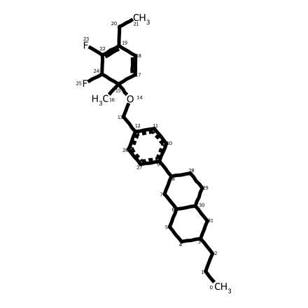 CCCC1CCC2CC(c3ccc(COC4(C)C=CC(CC)=C(F)C4F)cc3)CCC2C1